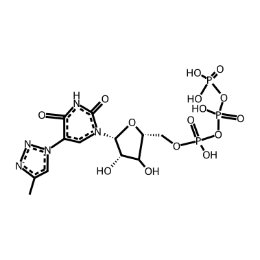 Cc1cn(-c2cn([C@@H]3O[C@H](COP(=O)(O)OP(=O)(O)OP(=O)(O)O)C(O)[C@@H]3O)c(=O)[nH]c2=O)nn1